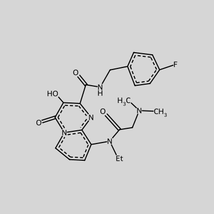 CCN(C(=O)CN(C)C)c1cccn2c(=O)c(O)c(C(=O)NCc3ccc(F)cc3)nc12